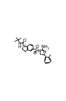 Cc1ccccc1C1CN(S(=O)(=O)c2ccc3c(c2)CCN3C(=O)NC(C)(C)C)C(N)=N1